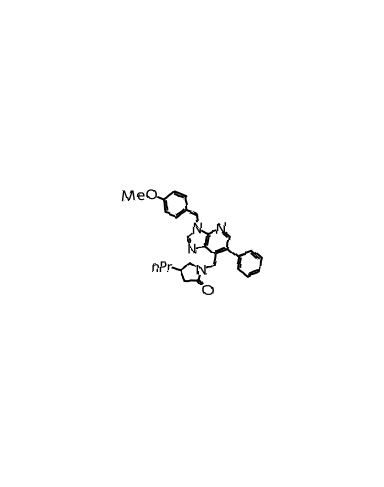 CCCC1CC(=O)N(Cc2c(-c3ccccc3)cnc3c2ncn3Cc2ccc(OC)cc2)C1